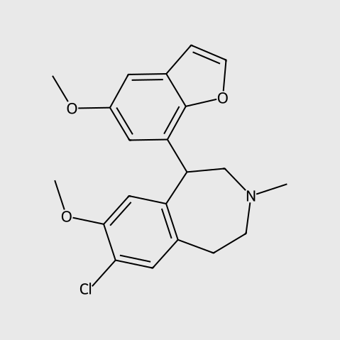 COc1cc(C2CN(C)CCc3cc(Cl)c(OC)cc32)c2occc2c1